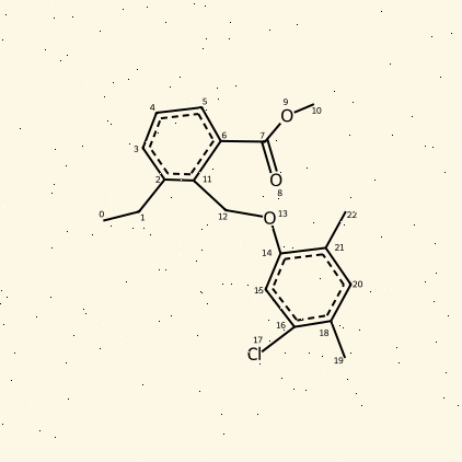 CCc1cccc(C(=O)OC)c1COc1cc(Cl)c(C)cc1C